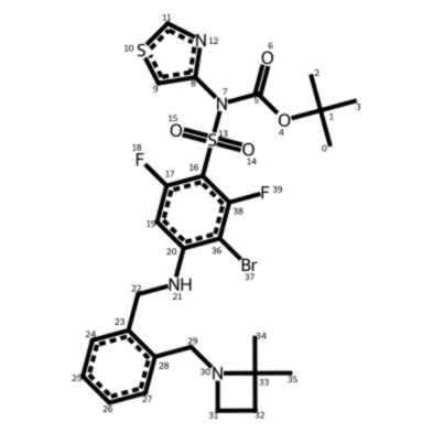 CC(C)(C)OC(=O)N(c1cscn1)S(=O)(=O)c1c(F)cc(NCc2ccccc2CN2CCC2(C)C)c(Br)c1F